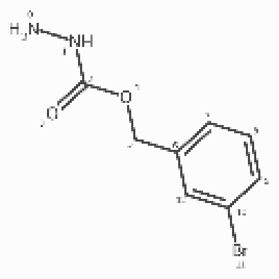 NNC(=O)OCc1cccc(Br)c1